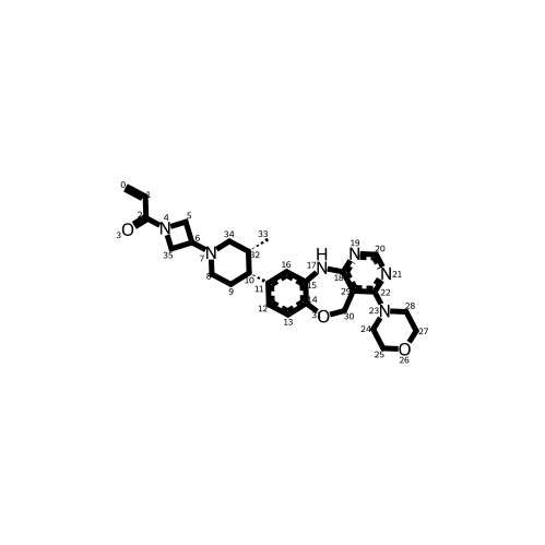 C=CC(=O)N1CC(N2CC[C@@H](c3ccc4c(c3)Nc3ncnc(N5CCOCC5)c3CO4)[C@@H](C)C2)C1